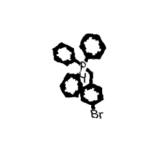 Brc1ccc(C[PH](c2ccccc2)(c2ccccc2)c2ccccc2)cc1